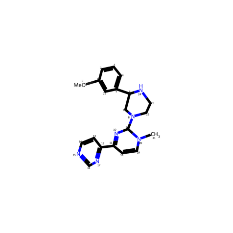 COc1cccc(C2CN(C3N=C(c4ccncn4)C=CN3C)CCN2)c1